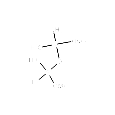 CO[Si](C)(C)O[Si](C)(O)OC